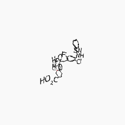 O=C(Cc1cc(Cl)c(Nc2nc3ccccc3s2)cc1F)C(F)(O[C@H]1CC[C@H](C(=O)O)CC1)C1CCCN1